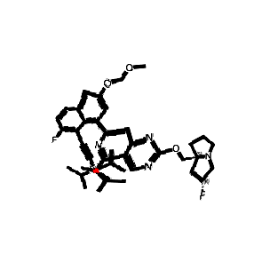 COCOc1cc(-c2cc3nc(OC[C@@]45CCCN4C[C@H](F)C5)ncc3c(N(C)C)n2)c2c(C#C[Si](C(C)C)(C(C)C)C(C)C)c(F)ccc2c1